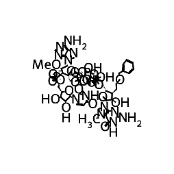 CO[C@@H]1[C@H](P(=O)([O-])OC[C@H]2O[C@@H](n3ccc(=O)[nH]c3=O)[C@H](O)[C@@H]2O)[C@@H](COP(=O)(O)OP(=O)(O)OP(=O)(O)OC[C@H]2O[C@@H](n3c[n+](C)c4c(=O)[nH]c(N)nc43)[C@H](O)[C@@H]2CCOCc2ccccc2)O[C@H]1n1cnc2c(N)ncnc21